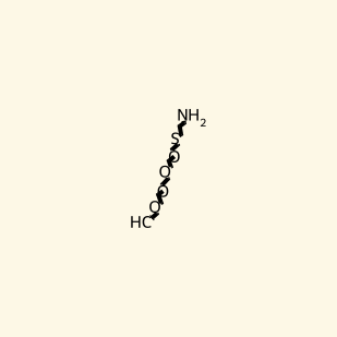 C#CCOCCOCCOCCOCCSCCCN